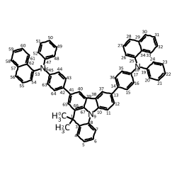 CC1(C)c2ccccc2-n2c3ccc(-c4ccc(N(c5ccccc5)c5cccc6ccccc56)cc4)cc3c3cc(-c4ccc(N(c5ccccc5)c5cccc6ccccc56)cc4)cc1c32